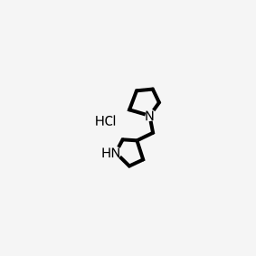 C1CCN(CC2CCNC2)C1.Cl